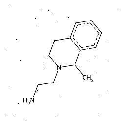 CC1c2ccccc2CCN1CCN